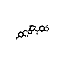 Fc1ccc(Cn2ccc3c(Nc4ccc5c(c4)OCO5)ncnc32)c(Cl)c1